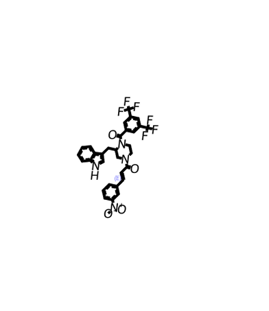 O=C(/C=C/c1cccc([N+](=O)[O-])c1)N1CCN(C(=O)c2cc(C(F)(F)F)cc(C(F)(F)F)c2)C(Cc2c[nH]c3ccccc23)C1